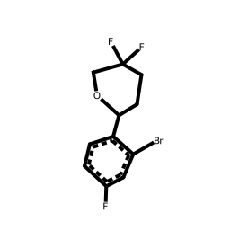 Fc1ccc(C2CCC(F)(F)CO2)c(Br)c1